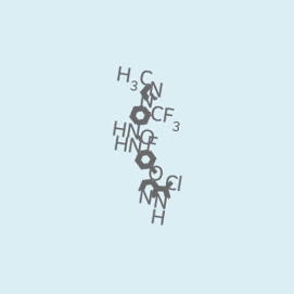 Cc1cn(-c2ccc(NC(=O)Nc3ccc(Oc4ccnc5[nH]cc(Cl)c45)cc3F)cc2C(F)(F)F)cn1